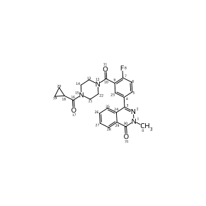 Cn1nc(-c2ccc(F)c(C(=O)N3CCN(C(=O)C4CC4)CC3)c2)c2ccccc2c1=O